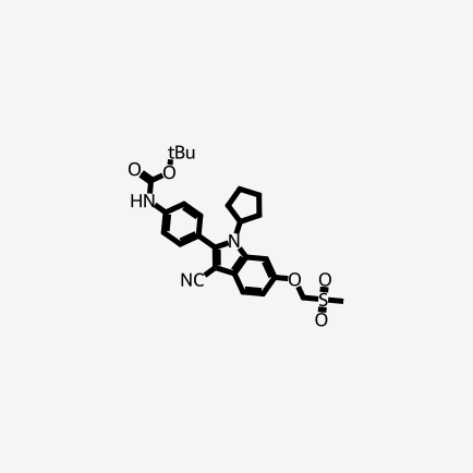 CC(C)(C)OC(=O)Nc1ccc(-c2c(C#N)c3ccc(OCS(C)(=O)=O)cc3n2C2CCCC2)cc1